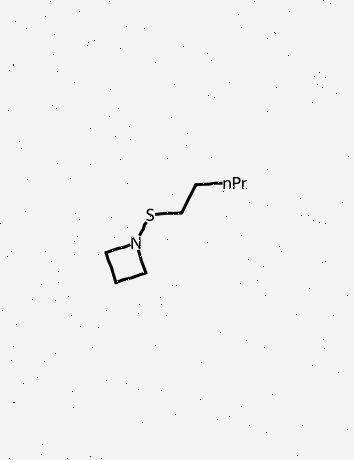 CCCCCSN1CCC1